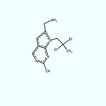 CCC(C)(CC)Cn1c(CN)cc2cnc(C#N)nc21